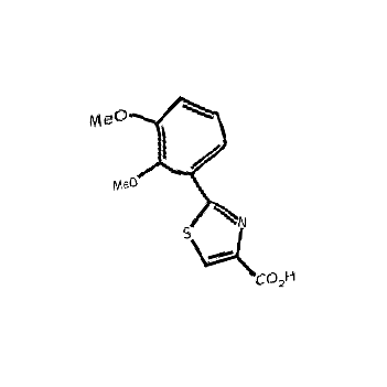 COc1cccc(-c2nc(C(=O)O)cs2)c1OC